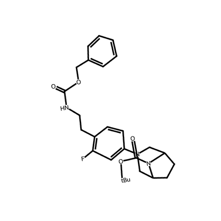 CC(C)(C)OC(=O)N1C2CCC1CN(c1ccc(CCNC(=O)OCc3ccccc3)c(F)c1)C2